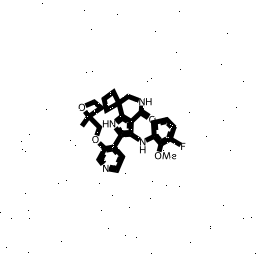 COc1c(F)cccc1Nc1c(-c2ccncc2OCC2(C)CCO2)[nH]c2c1C(=O)NCC21CCC1